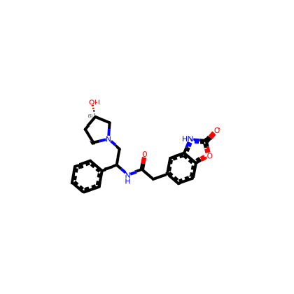 O=C(Cc1ccc2oc(=O)[nH]c2c1)NC(CN1CC[C@H](O)C1)c1ccccc1